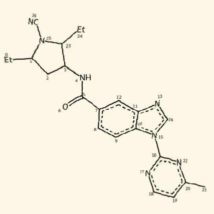 CCC1CC(NC(=O)c2ccc3c(c2)ncn3-c2nccc(C)n2)C(CC)N1C#N